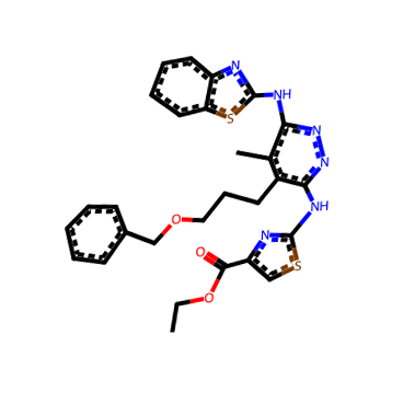 CCOC(=O)c1csc(Nc2nnc(Nc3nc4ccccc4s3)c(C)c2CCCOCc2ccccc2)n1